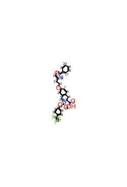 O=C(O)C1Cc2ccc(OCCc3coc(-c4ccccc4)n3)cc2CN1C(=O)Oc1ccc(C(F)(F)F)cc1